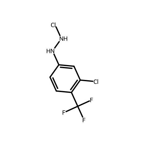 FC(F)(F)c1ccc(NNCl)cc1Cl